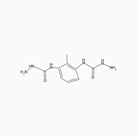 Cc1c(NC(=O)NN)cccc1NC(=O)NN